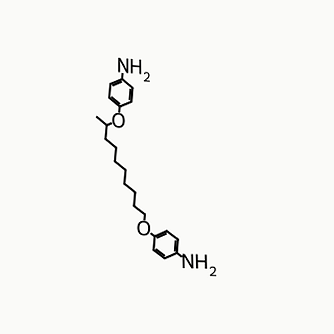 CC(CCCCCCCCOc1ccc(N)cc1)Oc1ccc(N)cc1